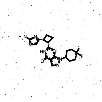 CC1(F)CCC(n2ncc3c(=O)[nH]c([C@@H]4CC[C@@H]4c4csc(N)n4)nc32)CC1